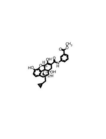 COC(=O)c1cccc(NC(=O)C2=C(O)[C@@H]3Oc4c(O)ccc5c4[C@@]34CCN(CC3=CC3)[C@H](C5)[C@]4(O)C2)c1